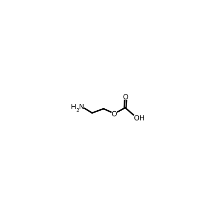 NCCOC(=O)O